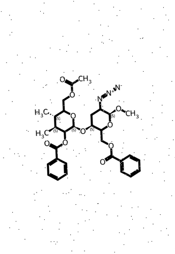 CO[C@H]1OC(COC(=O)c2ccccc2)[C@@H](O[C@@H]2OC(COC(C)=O)[C@@H](C)[C@H](C)C2OC(=O)c2ccccc2)CC1N=[N+]=[N-]